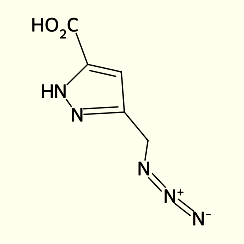 [N-]=[N+]=NCc1cc(C(=O)O)[nH]n1